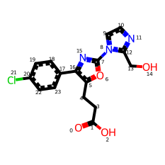 O=C(O)CCc1oc(-n2ccnc2CO)nc1-c1ccc(Cl)cc1